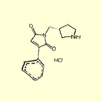 Cl.O=C1C=C(c2ccccc2)C(=O)N1C[C@@H]1CCNC1